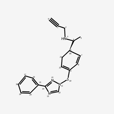 C#CCNC(C)[C@H]1C=CC(Sn2cnc(-c3ccccc3)n2)=CC1